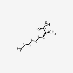 CCCCCCC=C(C)C(O)=S